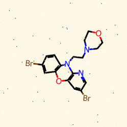 Brc1ccc2c(c1)Oc1cc(Br)cnc1N2CCN1CCOCC1